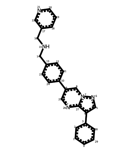 c1ccc(-c2cnn3cc(-c4ccc(CNCc5cccnc5)cc4)cnc23)cc1